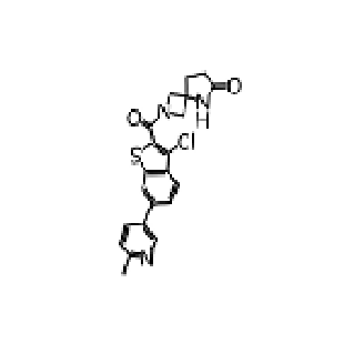 Cc1ccc(-c2ccc3c(Cl)c(C(=O)N4CC5(CCC(=O)N5)C4)sc3c2)cn1